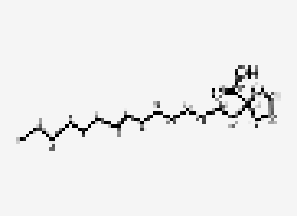 CCCCCCCCCCCCCCCC1(C(=O)O)CCCO1